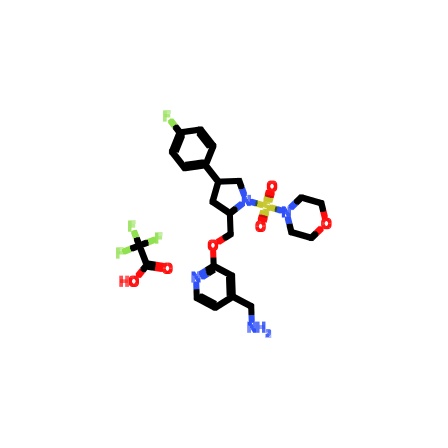 NCc1ccnc(OCC2CC(c3ccc(F)cc3)CN2S(=O)(=O)N2CCOCC2)c1.O=C(O)C(F)(F)F